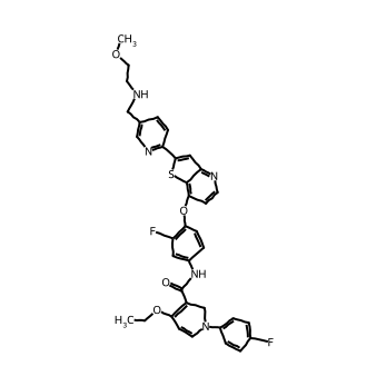 CCOC1=C(C(=O)Nc2ccc(Oc3ccnc4cc(-c5ccc(CNCCOC)cn5)sc34)c(F)c2)CN(c2ccc(F)cc2)C=C1